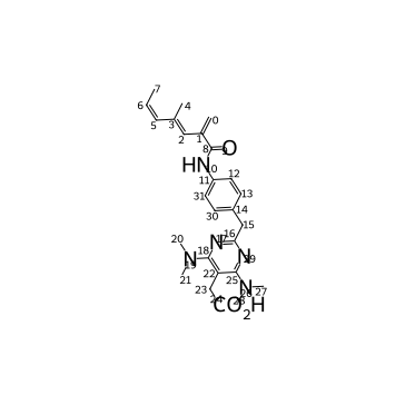 C=C(/C=C(C)/C=C\C)C(=O)Nc1ccc(Cc2nc(N(C)C)c(CC(=O)O)c(N(C)C)n2)cc1